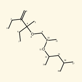 C=C(CC)C(C)(CC)OCP(C)OC(C)CC(C)C